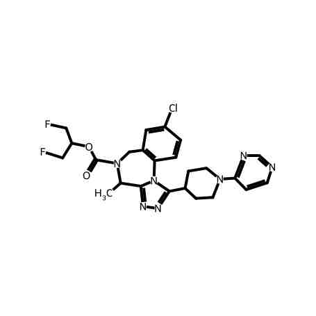 CC1c2nnc(C3CCN(c4ccncn4)CC3)n2-c2ccc(Cl)cc2CN1C(=O)OC(CF)CF